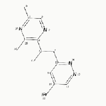 Cc1cnc(C(C)Cc2cc(C(C)C)cnn2)c(C)n1